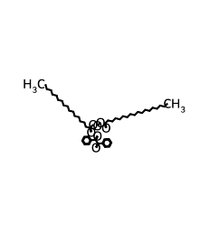 CCCCCCCCCCCCCCCCCC(=O)OOOC(=O)CCCCCCCCCCCCCCCCC.O=C(C(=O)c1ccccc1)c1ccccc1